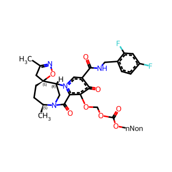 CCCCCCCCCOC(=O)OCOc1c2n(cc(C(=O)NCc3ccc(F)cc3F)c1=O)[C@@H]1CN(C2=O)[C@@H](C)CC[C@]12CC(C)=NO2